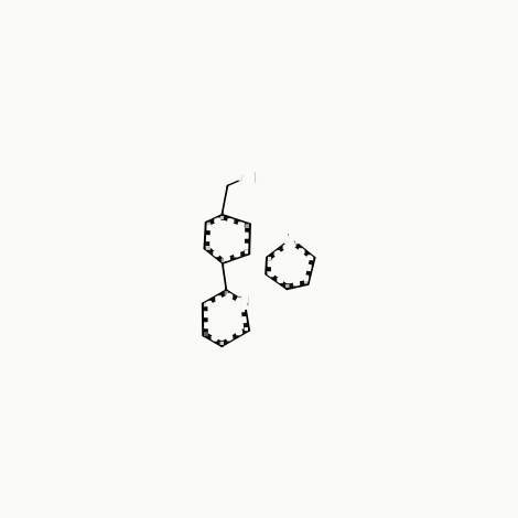 OCc1ccc(-c2ccccn2)cc1.c1ccncc1